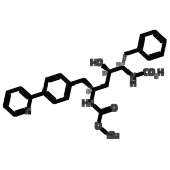 CC(C)(C)OC(=O)N[C@@H](Cc1ccc(-c2ccccn2)cc1)C[C@@H](O)[C@H](Cc1ccccc1)NC(=O)O